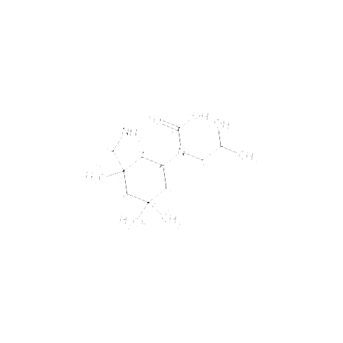 CC(O)CN(C(=O)O)C1CC(C)(C)CC(C)(CN)C1